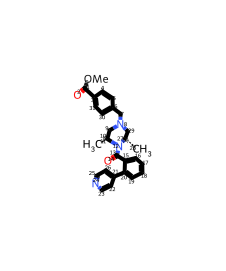 COC(=O)c1ccc(CN2C[C@@H](C)N(C(=O)c3ccccc3-c3ccncc3)[C@@H](C)C2)cc1